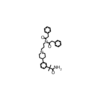 CC(C)(C(N)=O)c1cccc(C2CCN(CCCN(C(=O)Cc3ccccc3)C(=O)Cc3ccccc3)CC2)c1